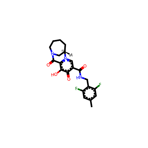 Cc1cc(F)c(CNC(=O)c2cn3c(c(O)c2=O)C(=O)N2CCCC[C@H]3C2)c(F)c1